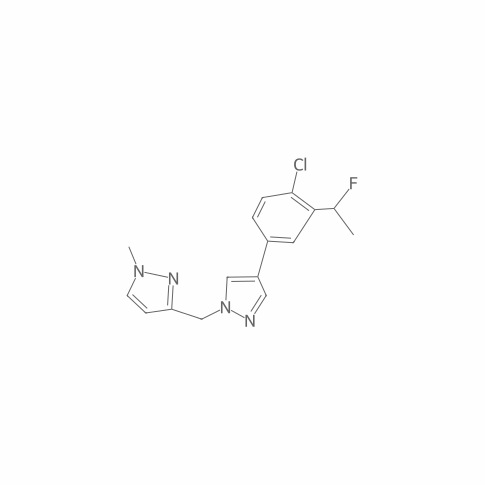 CC(F)c1cc(-c2cnn(Cc3ccn(C)n3)c2)ccc1Cl